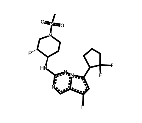 CS(=O)(=O)N1CC[C@@H](Nc2ncc3c(F)cc(C4CCCC4(F)F)n3n2)[C@H](F)C1